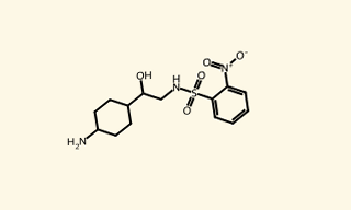 NC1CCC(C(O)CNS(=O)(=O)c2ccccc2[N+](=O)[O-])CC1